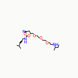 CCC(C)NCCOCCOCCOCC(CC#N)OC(=O)NCC#CC(C)C